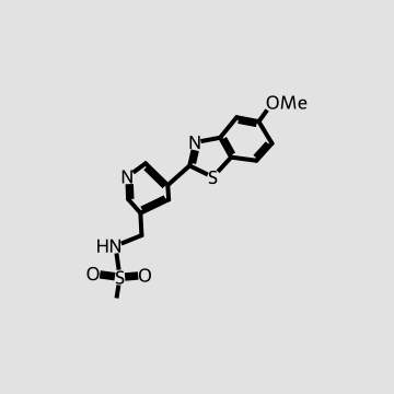 COc1ccc2sc(-c3cncc(CNS(C)(=O)=O)c3)nc2c1